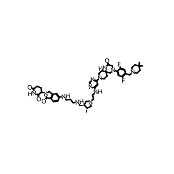 C[C@@H]1CN(CCNc2cc(N3CCC4(CC3)CN(c3cc(F)c(CN5CCC(C)(C)CC5)cc3F)CC(=O)N4)ncn2)C[C@@H]1CNCCCNc1ccc2c(c1)CN(C1CCC(=O)NC1=O)C2=O